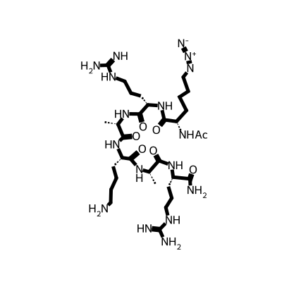 CC(=O)N[C@@H](CCCCN=[N+]=[N-])C(=O)N[C@@H](CCCNC(=N)N)C(=O)N[C@@H](C)C(=O)N[C@@H](CCCCN)C(=O)N[C@@H](C)C(=O)N[C@@H](CCCNC(=N)N)C(N)=O